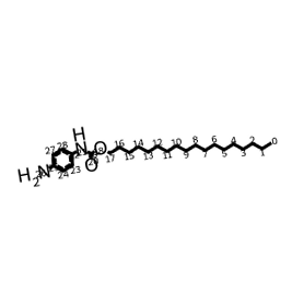 CCCCCCCCCCCCCCCCCCOC(=O)Nc1ccc(N)cc1